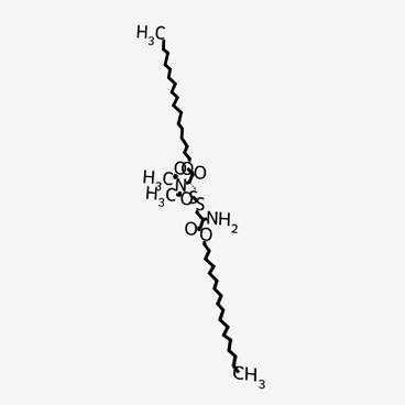 CCCCCCCCCCCCCCCCCCOC(=O)C(N)CSSC[C@@H](C(=O)OCCCCCCCCCCCCCCCCCC)N(C(C)=O)C(C)=O